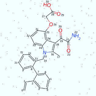 C=Cc1ccccc1-c1ccccc1Cn1c(C)c(C(=O)C(N)=O)c2c(OCC(=O)O)cccc21